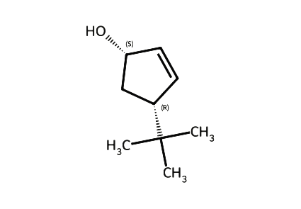 CC(C)(C)[C@H]1C=C[C@@H](O)C1